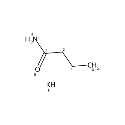 CCCC(N)=O.[KH]